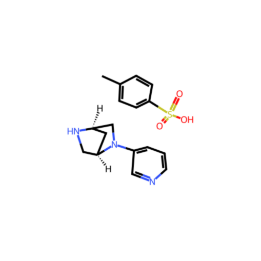 Cc1ccc(S(=O)(=O)O)cc1.c1cncc(N2C[C@H]3C[C@@H]2CN3)c1